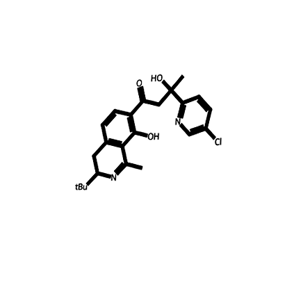 CC1=NC(C(C)(C)C)Cc2ccc(C(=O)CC(C)(O)c3ccc(Cl)cn3)c(O)c21